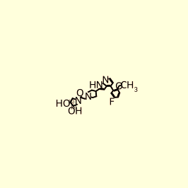 COc1ccc(F)cc1-c1ccnc2[nH]c(C3CCN(CC(=O)N4C[C@H](O)[C@@H](O)C4)CC3)cc12